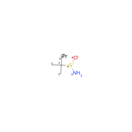 CC(C)C(C)(C)[S+](N)[O-]